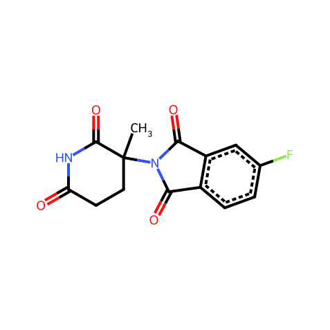 CC1(N2C(=O)c3ccc(F)cc3C2=O)CCC(=O)NC1=O